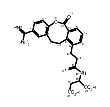 N=C(N)c1ccc2c(c1)CCc1c(CCC(=O)NC(CC(=O)O)C(=O)O)cccc1C(=O)O2